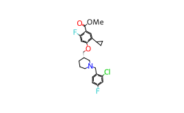 COC(=O)c1cc(C2CC2)c(OC[C@H]2CCCN(Cc3ccc(F)cc3Cl)C2)cc1F